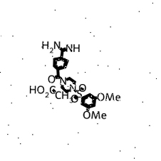 CC(=O)O.COc1cc(OC)cc(S(=O)(=O)N2CCN(C(=O)c3ccc(C(=N)N)cc3)CC2)c1